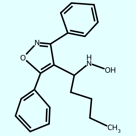 CCCCC(NO)c1c(-c2ccccc2)noc1-c1ccccc1